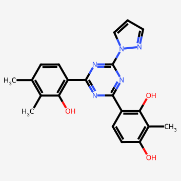 Cc1ccc(-c2nc(-c3ccc(O)c(C)c3O)nc(-n3cccn3)n2)c(O)c1C